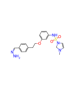 CN1C=CN(S(=O)(=O)Nc2cccc(OCCc3ccc(/C=N\N)cc3)c2)C1